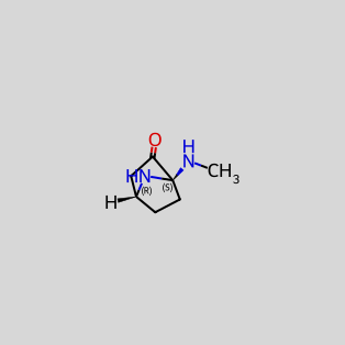 CN[C@]12CC[C@H](CC1=O)N2